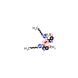 CCCCCCCN1CCN(C[C@@H](OC(=O)C(=O)O[C@H](CN2CCN(CCCCCCC)CC2)c2ccnc3ccc(OC)cc23)c2ccnc3ccc(OC)cc23)CC1